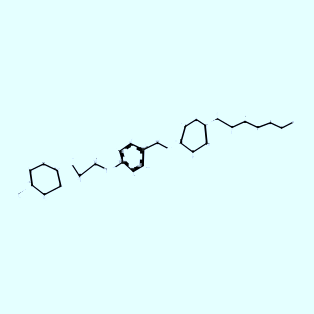 CCCCCCC[C@H]1CC[C@H](CCc2ccc(OCCC[C@H]3CC[C@H](C)CC3)cc2)CC1